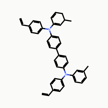 C=Cc1ccc(N(C2=CC(C)CC=C2)c2ccc(-c3ccc(N(c4ccc(C=C)cc4)c4cccc(C)c4)cc3)cc2)cc1